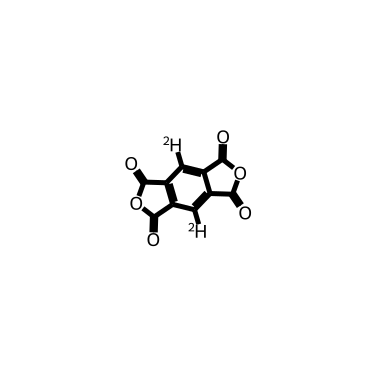 [2H]c1c2c(=O)oc(=O)c2c([2H])c2c(=O)oc(=O)c12